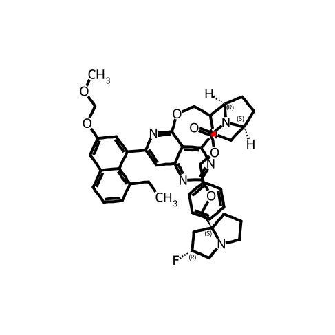 CCc1cccc2cc(OCOC)cc(-c3cc4nc(OC[C@@]56CCCN5C[C@H](F)C6)nc5c4c(n3)OCC3[C@H]4CC[C@@H](CN53)N4C(=O)OCc3ccccc3)c12